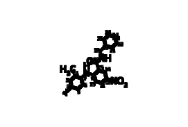 Cc1cc(I)ccc1Nc1ccc([N+](=O)[O-])cc1C(=O)NCc1ccncc1